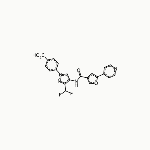 O=C(O)c1ccc(-n2cc(NC(=O)c3coc(-c4ccncc4)c3)c(C(F)F)n2)cc1